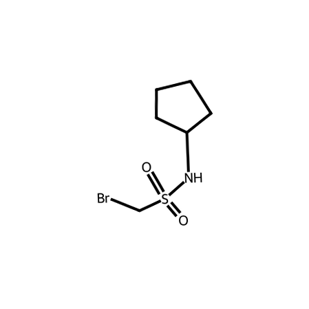 O=S(=O)(CBr)NC1CCCC1